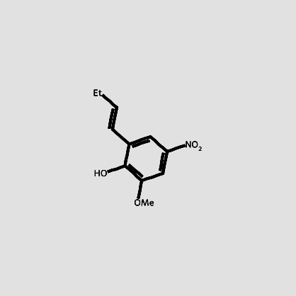 CCC=Cc1cc([N+](=O)[O-])cc(OC)c1O